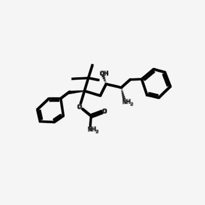 CC(C)(C)[C@](Cc1ccccc1)(C[C@H](O)[C@@H](N)Cc1ccccc1)OC(N)=O